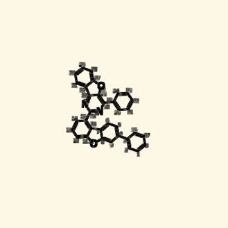 c1ccc(-c2ccc3c(c2)oc2cccc(-c4nc(-c5ccccc5)c5oc6ccccc6c5n4)c23)cc1